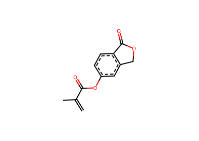 C=C(C)C(=O)Oc1ccc2c(c1)COC2=O